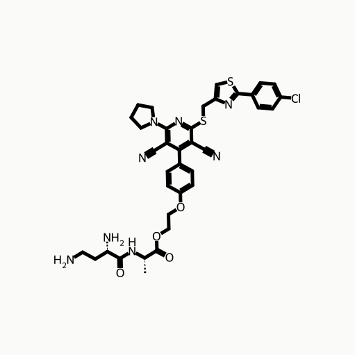 C[C@H](NC(=O)[C@@H](N)CCN)C(=O)OCCOc1ccc(-c2c(C#N)c(SCc3csc(-c4ccc(Cl)cc4)n3)nc(N3CCCC3)c2C#N)cc1